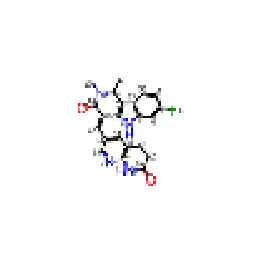 CC(c1c[nH]c2cc(F)ccc12)N(C)C(=O)C=Cc1cnc2c(c1)CCC(=O)N2